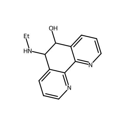 CCNC1c2cccnc2-c2ncccc2C1O